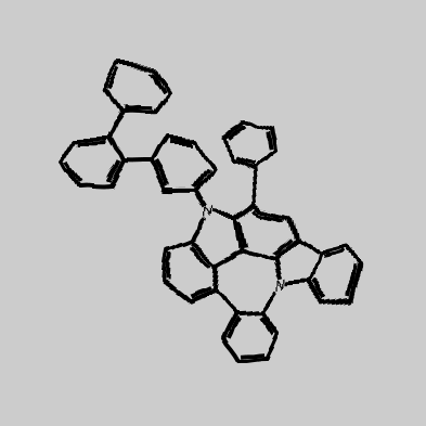 c1ccc(-c2ccccc2-c2cccc(-n3c4cccc5c6ccccc6n6c7ccccc7c7cc(-c8ccccc8)c3c(c54)c76)c2)cc1